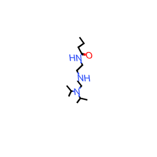 CCCC(=O)NCCNCCN(C(C)C)C(C)C